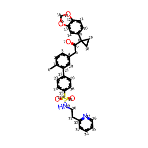 Cc1ccc(CC(=O)C2(c3ccc4c(c3)OCO4)CC2)cc1-c1ccc(S(=O)(=O)NCCc2ccccn2)cc1